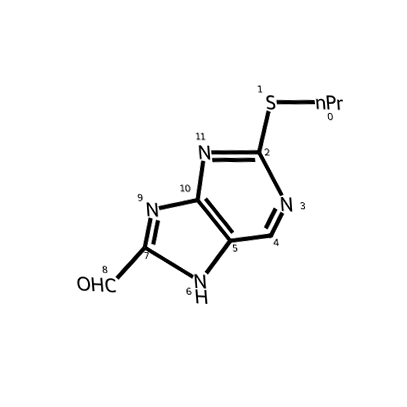 CCCSc1ncc2[nH]c(C=O)nc2n1